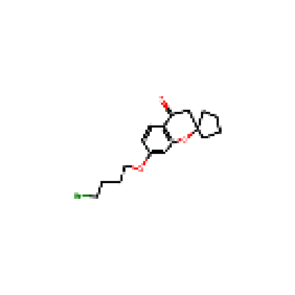 O=C1CC2(CCCC2)Oc2cc(OCCCCBr)ccc21